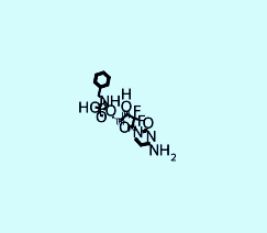 Nc1ccn([C@@H]2O[C@H](COP(=O)(O)NCc3ccccc3)[C@@H](O)C2(F)F)c(=O)n1